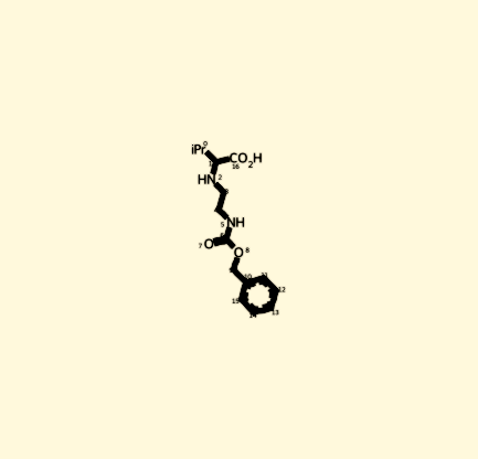 CC(C)C(NCCNC(=O)OCc1ccccc1)C(=O)O